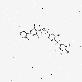 Cc1ccccc1-c1cc(F)c(C(F)(F)OC(C)(C)c2ccc(C(C)(C)c3cc(F)c(F)c(F)c3)c(F)c2)c(F)c1